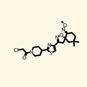 CON=C1CCC(C)(C)CC12CC(c1csc(C3CCN(C(=O)CCl)CC3)n1)=NO2